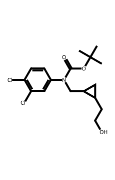 CC(C)(C)OC(=O)N(CC1CC1CCO)c1ccc(Cl)c(Cl)c1